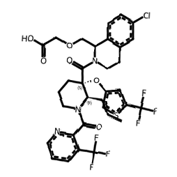 CCC[C@H]1N(C(=O)c2ncccc2C(F)(F)F)CCC[C@@]1(Oc1csc(C(F)(F)F)c1)C(=O)N1CCc2cc(Cl)ccc2C1COCC(=O)O